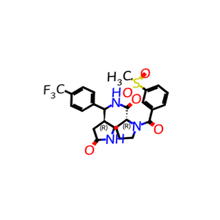 CS(=O)(=O)c1cccc(C(=O)N2CCC[C@@H]2C(=O)NC(c2ccc(C(F)(F)F)cc2)[C@H]2CNC(=O)C2)c1